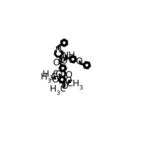 COc1cc(OC)c(OC)c(C(=O)c2ccc(C(=O)OC3CCCN(Cc4ccccc4)CC3NC(=O)c3ccc(OCc4ccccc4)cc3)cc2)c1OC